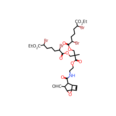 CCOC(=O)C(Br)CCCC(Br)C(=O)OCC(C)(COC(=O)C(Br)CCCC(Br)C(=O)OCC)C(=O)OCCNC(=O)C1C(C=O)C2OC23C=CC13